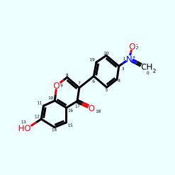 C=[N+]([O-])c1ccc(-c2coc3cc(O)ccc3c2=O)cc1